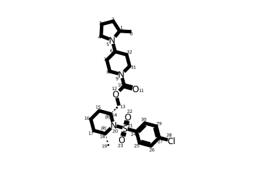 CC1CCCN1C1CCN(C(=O)OC[C@H]2CCC[C@@H](C)N2S(=O)(=O)c2ccc(Cl)cc2)CC1